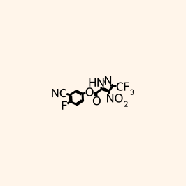 N#Cc1cc(OC(=O)c2[nH]nc(C(F)(F)F)c2[N+](=O)[O-])ccc1F